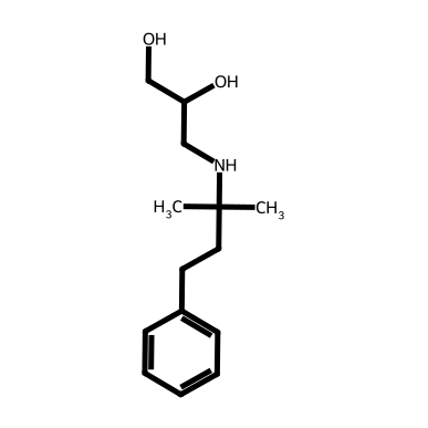 CC(C)(CCc1ccccc1)NCC(O)CO